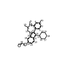 Cc1ccc2c(c1)N(C)C(C)Cn1c-2c(C2CCCCC2)c2ccc(OC=O)cc21